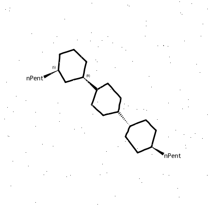 CCCCC[C@H]1CCC[C@@H](C2CCC([C@H]3CC[C@H](CCCCC)CC3)CC2)C1